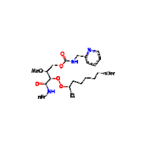 CCCCCCCCCCCCCCCC(CC)OOC(C(=O)NCCC)C(COC(=O)NCc1ccccn1)OC